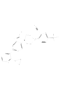 N#Cc1cc(C(F)(F)F)ccc1N1CCC(C(=O)O)(c2ccc(-c3cccnc3C3CC3)nc2)CC1